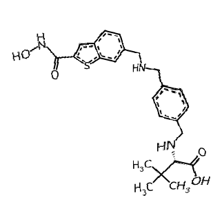 CC(C)(C)[C@H](NCc1ccc(CNCc2ccc3cc(C(=O)NO)sc3c2)cc1)C(=O)O